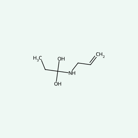 C=CCNC(O)(O)CC